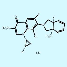 Cl.N[C@@]12C=CC=C[C@@H]1CN(c1c(F)cc3c(=O)c(C(=O)O)cn([C@@H]4C[C@@H]4F)c3c1Cl)C2